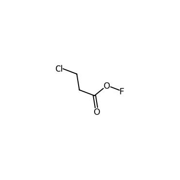 O=C(CCCl)OF